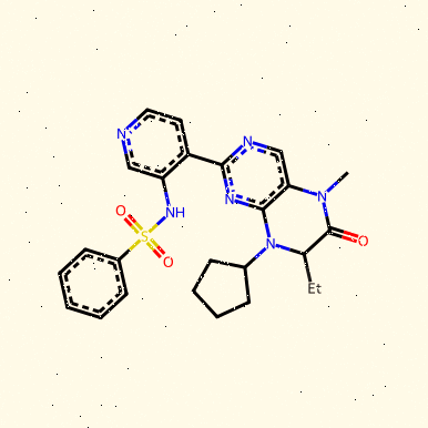 CCC1C(=O)N(C)c2cnc(-c3ccncc3NS(=O)(=O)c3ccccc3)nc2N1C1CCCC1